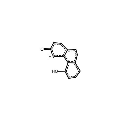 O=c1ccc2ccc3cccc(O)c3c2[nH]1